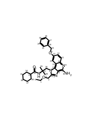 CCOCc1nc2c(N)nc3ccc(OCc4ccccc4)cc3c2n1CC(C)(C)NC(=O)C1CCCCC1